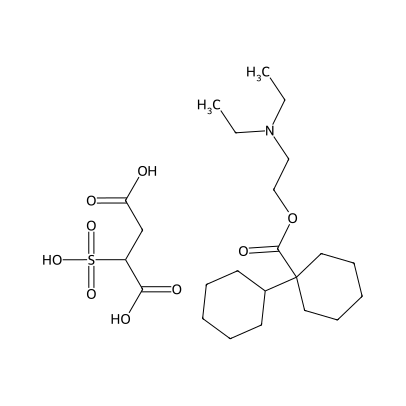 CCN(CC)CCOC(=O)C1(C2CCCCC2)CCCCC1.O=C(O)CC(C(=O)O)S(=O)(=O)O